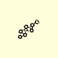 O=C1c2cccc(-n3c4ccccc4c4cc(-c5cncnc5)ccc43)c2C(=O)N1c1cccc(-c2ccccc2)c1-c1ccccc1